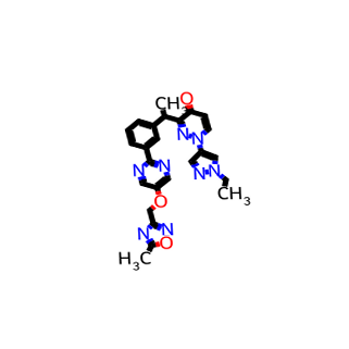 CCn1cc(-n2ccc(=O)c(C(C)c3cccc(-c4ncc(OCc5noc(C)n5)cn4)c3)n2)cn1